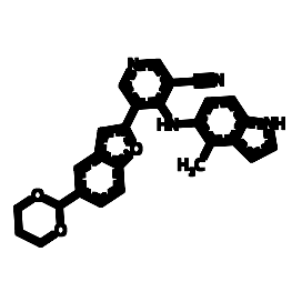 Cc1c(Nc2c(C#N)cncc2-c2cc3cc(C4OCCCO4)ccc3o2)ccc2[nH]ccc12